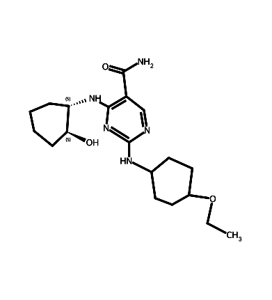 CCOC1CCC(Nc2ncc(C(N)=O)c(N[C@H]3CCCC[C@@H]3O)n2)CC1